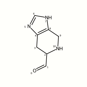 O=CC1Cc2nc[nH]c2CN1